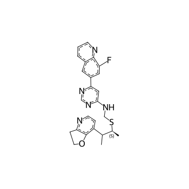 CC(c1ccnc2c1OCC2)[C@H](C)SCNc1cc(-c2cc(F)c3ncccc3c2)ncn1